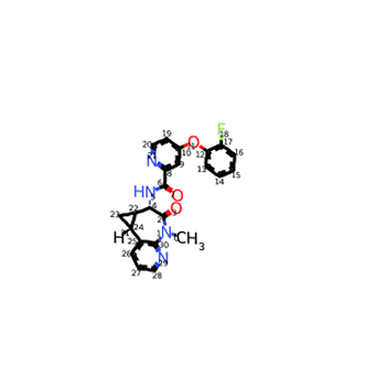 CN1C(=O)[C@@H](NC(=O)c2cc(Oc3ccccc3F)ccn2)C2C[C@H]2c2cccnc21